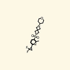 Cc1nc(C2CC2(F)F)ccc1S(=O)(=O)N1CC2(CN(C3CCOCC3)C2)C1